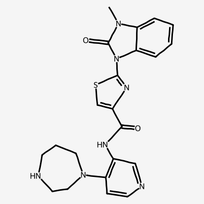 Cn1c(=O)n(-c2nc(C(=O)Nc3cnccc3N3CCCNCC3)cs2)c2ccccc21